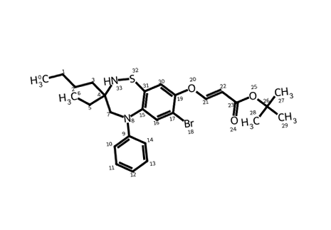 CCCCC1(CC)CN(c2ccccc2)c2cc(Br)c(O/C=C/C(=O)OC(C)(C)C)cc2SN1